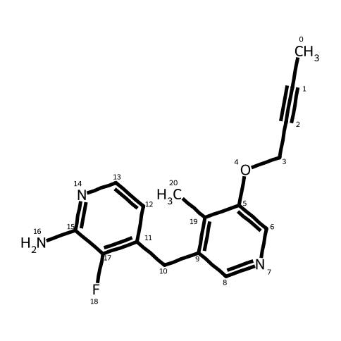 CC#CCOc1cncc(Cc2ccnc(N)c2F)c1C